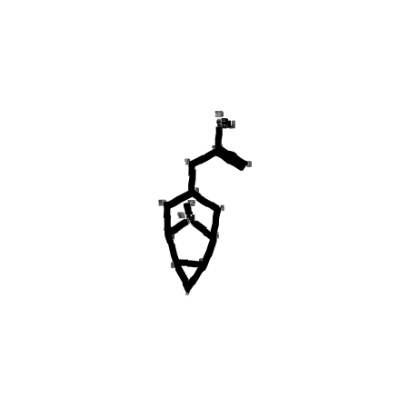 C=C(CC1CC2C3CC3C(C1)N2C)C(C)(C)C